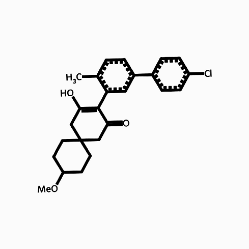 COC1CCC2(CC1)CC(=O)C(c1cc(-c3ccc(Cl)cc3)ccc1C)=C(O)C2